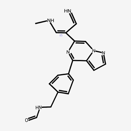 CN/C=C(\C=N)c1cn2nccc2c(-c2ccc(CNC=O)cc2)n1